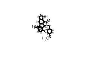 COc1ccc(CN2C(=O)c3c(c(C(=O)O)cc4cn[nH]c34)C2(O)c2cc(F)ccc2Cl)cc1